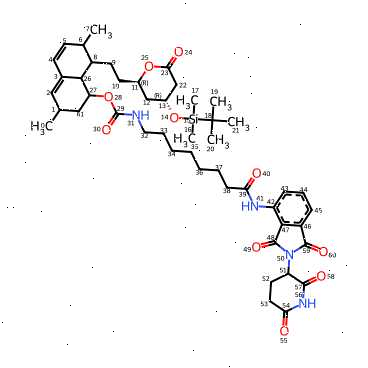 CC1C=C2C=CC(C)C(CC[C@@H]3C[C@@H](O[Si](C)(C)C(C)(C)C)CC(=O)O3)C2C(OC(=O)NCCCCCCCC(=O)Nc2cccc3c2C(=O)N(C2CCC(=O)NC2=O)C3=O)C1